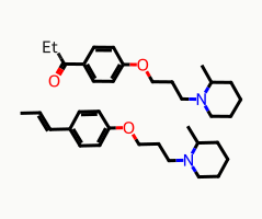 CC=Cc1ccc(OCCCN2CCCCC2C)cc1.CCC(=O)c1ccc(OCCCN2CCCCC2C)cc1